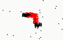 O=S(=O)([O-])[O-].O=S(=O)([O-])[O-].O=S(=O)([O-])[O-].O=S(=O)([O-])[O-].[Cu+2].[Cu+2].[Cu+2].[OH-].[OH-].[OH-].[OH-].[Pb+2].[Pb+2].[Pb+2]